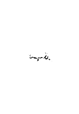 Cc1cc(C#Cc2cc(C(=O)Nc3cc(C#N)c(=O)n(CC(F)F)c3)sc2Cl)sn1